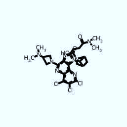 CN(C)C(=O)CCc1nc2c(N3CC(N(C)C)C3)nc3c(Cl)c(Cl)c(Cl)nc3c2n1C1C2CC1N(C(=O)O)C2